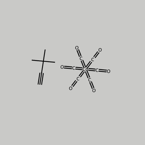 C#CC(C)(C)C.O=[C]=[Co](=[C]=O)(=[C]=O)(=[C]=O)(=[C]=O)=[C]=O